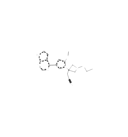 CCSN1CC(CC#N)(n2cc(-c3ncnc4[nH]ccc34)cc2OC)C1